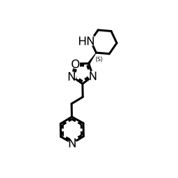 c1cc(CCc2noc([C@@H]3CCCCN3)n2)ccn1